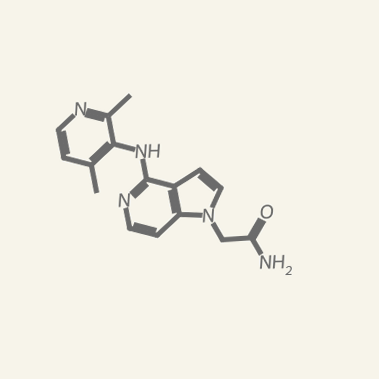 Cc1ccnc(C)c1Nc1nccc2c1ccn2CC(N)=O